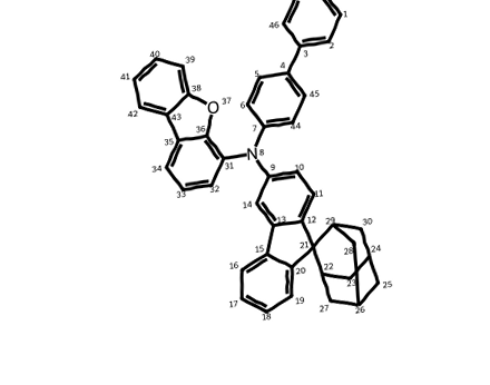 c1ccc(-c2ccc(N(c3ccc4c(c3)-c3ccccc3C43C4CC5CC(C4)CC3C5)c3cccc4c3oc3ccccc34)cc2)cc1